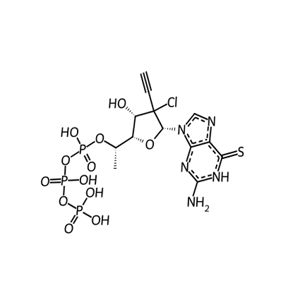 C#CC1(Cl)[C@@H](O)[C@@H]([C@H](C)OP(=O)(O)OP(=O)(O)OP(=O)(O)O)O[C@H]1n1cnc2c(=S)[nH]c(N)nc21